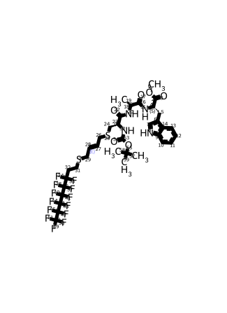 COC(=O)[C@H](Cc1c[nH]c2ccccc12)NC(=O)[C@H](C)NC(=O)[C@H](CSC/C=C/CSCCC(F)(F)C(F)(F)C(F)(F)C(F)(F)C(F)(F)C(F)(F)F)NC(=O)OC(C)(C)C